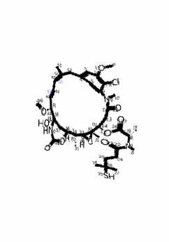 COc1cc2cc(c1Cl)N(C)C(=O)C[C@H](OC(=O)[C@H](C)N(C)C(=O)CCC(C)(C)S)[C@]1(C)O[C@H]1[C@H](C)[C@@H]1C[C@@](O)(NC(=O)O1)[C@H](OC)/C=C/C=C(/C)C2